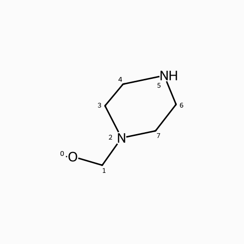 [O]CN1CCNCC1